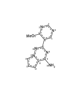 COc1ncncc1-c1nc(N)c2cccn2n1